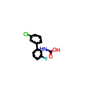 O=C(O)Nc1c(F)cccc1-c1cccc(Cl)c1